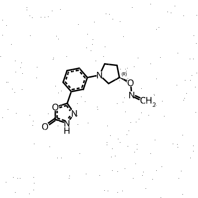 C=NO[C@@H]1CCN(c2cccc(-c3n[nH]c(=O)o3)c2)C1